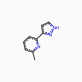 Cc1cccc(-c2cc[nH]n2)n1